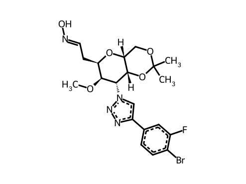 CO[C@@H]1[C@@H](n2cc(-c3ccc(Br)c(F)c3)nn2)[C@H]2OC(C)(C)OC[C@H]2O[C@@H]1CC=NO